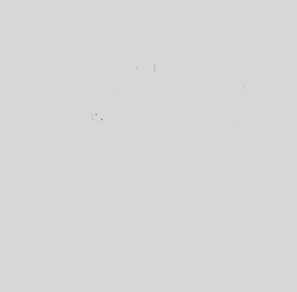 O=C(O)CCCC(O)(NCCc1ccccc1)c1ccccc1